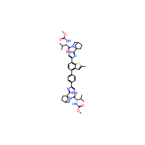 COC(=O)N[C@H](C(=O)N1CC2CCC1(c1nc(-c3ccc(-c4ccc(-c5c[nH]c(C67CCC(CN6C(=O)[C@@H](NC(=O)OC)C(C)C)C7)n5)c5sc(C)cc45)cc3)c[nH]1)C2)C(C)C